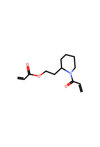 C=CC(=O)OCCC1CCCCN1C(=O)C=C